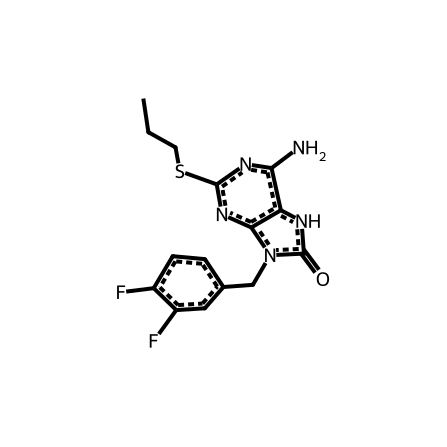 CCCSc1nc(N)c2[nH]c(=O)n(Cc3ccc(F)c(F)c3)c2n1